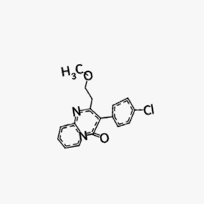 COCCc1nc2ccccn2c(=O)c1-c1ccc(Cl)cc1